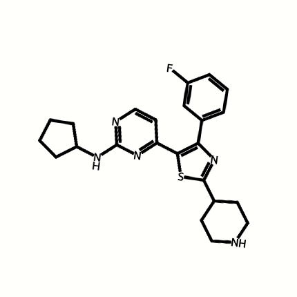 Fc1cccc(-c2nc(C3CCNCC3)sc2-c2ccnc(NC3CCCC3)n2)c1